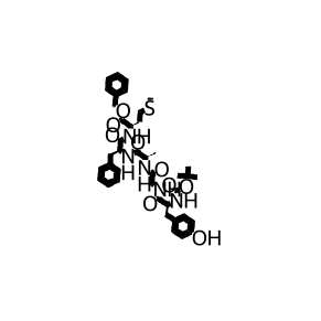 CSCC[C@H](NC(=O)[C@H](Cc1ccccc1)NC(=O)[C@H](C)NC(=O)CNC(=O)[C@H](Cc1ccc(O)cc1)NC(=O)OC(C)(C)C)C(=O)OCc1ccccc1